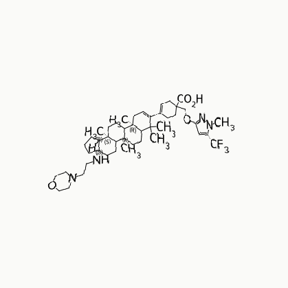 Cn1nc(OCC2(C(=O)O)CC=C(C3=CC[C@@]4(C)C(CC[C@]5(C)C4CC[C@@]4(C)C5CC[C@@]5(NCCN6CCOCC6)CCC[C@@H]54)C3(C)C)CC2)cc1C(F)(F)F